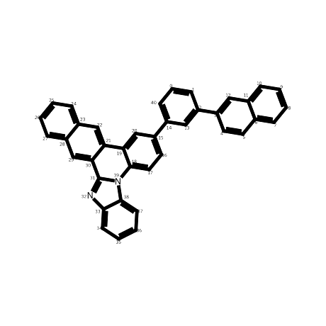 c1cc(-c2ccc3ccccc3c2)cc(-c2ccc3c(c2)c2cc4ccccc4cc2c2nc4ccccc4n32)c1